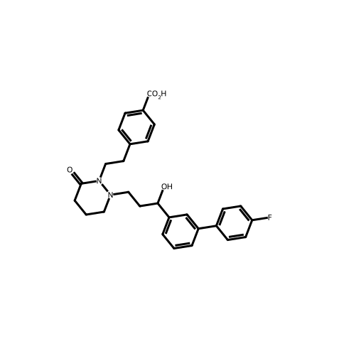 O=C(O)c1ccc(CCN2C(=O)CCCN2CCC(O)c2cccc(-c3ccc(F)cc3)c2)cc1